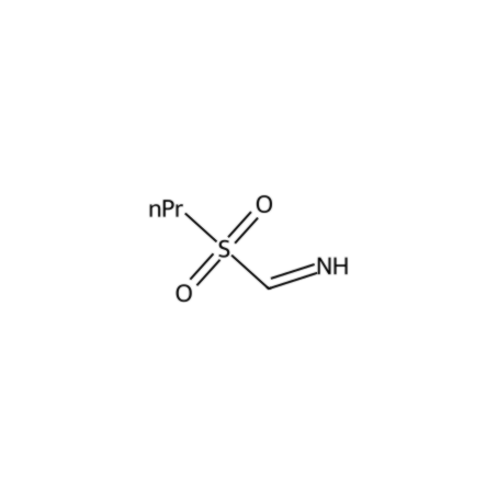 CCCS(=O)(=O)C=N